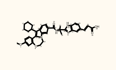 COc1ccc2c(c1)OCCn1c-2c(C2CCCCC2)c2ccc(C(=O)NC(C)(C)c3nc4cc(/C=C/C(=O)O)ccc4[nH]3)cc21